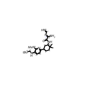 CNc1nc(C2CCC(C)(C)C(NC(=O)/C(N)=N/C=N)C2)ccc1NCC(C)(C)C